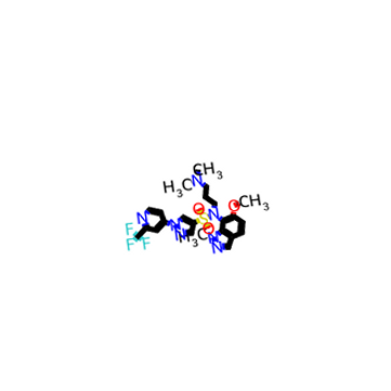 COc1ccc2cnn(C)c2c1N(CCCN(C)C)S(=O)(=O)c1cnn(-c2ccnc(C(F)(F)F)c2)c1